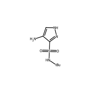 CC(C)(C)NS(=O)(=O)c1n[nH]cc1N